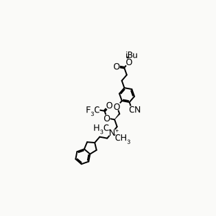 CCC(C)OC(=O)CCc1ccc(C#N)c(OC[C@@H](C[N+](C)(C)CCC2Cc3ccccc3C2)OC(=O)C(F)(F)F)c1